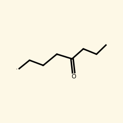 [CH2]CCCC(=O)CCC